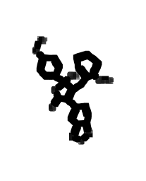 COc1ccccc1CC1=C(c2ccc3nsnc3c2)C(=O)OC1(O)c1ccc(OC(C)C)cc1